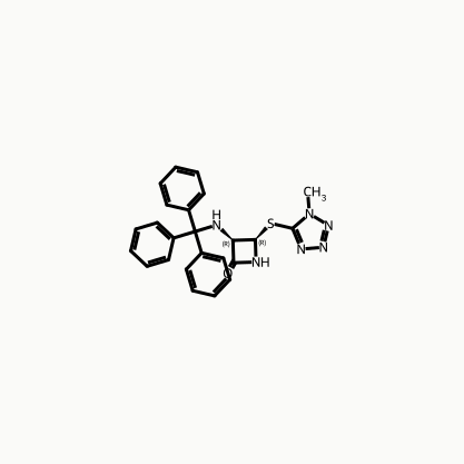 Cn1nnnc1S[C@H]1NC(=O)[C@H]1NC(c1ccccc1)(c1ccccc1)c1ccccc1